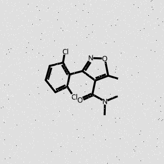 Cc1onc(-c2c(Cl)cccc2Cl)c1C(=O)N(C)C